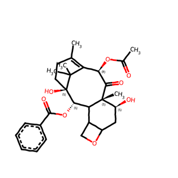 CC(=O)O[C@H]1C(=O)[C@@]2(C)C(C3COC3C[C@@H]2O)[C@H](OC(=O)c2ccccc2)[C@]2(O)CCC(C)=C1C2(C)C